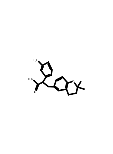 CC1(C)CCc2cc(CC(C(N)=O)c3cccc(C(F)(F)F)c3)ccc2O1